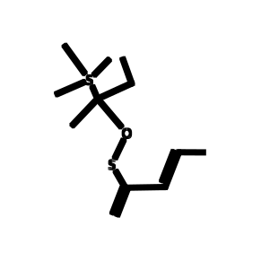 C=C(C=CC)SOC(C)(CC)S(C)(C)C